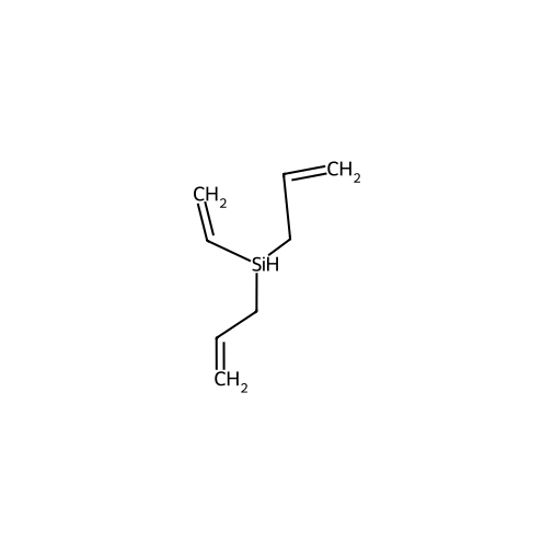 C=CC[SiH](C=C)CC=C